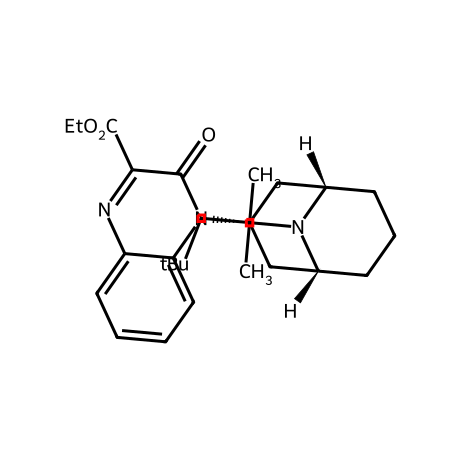 CCOC(=O)c1nc2ccccc2n([C@H]2C[C@H]3CCC[C@@H](C2)N3C(C)(C)CC(C)(C)C)c1=O